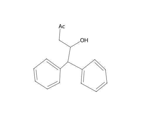 CC(=O)CC(O)C(c1ccccc1)c1ccccc1